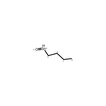 CCC[CH2][SnH]=[O]